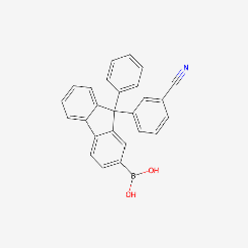 N#Cc1cccc(C2(c3ccccc3)c3ccccc3-c3ccc(B(O)O)cc32)c1